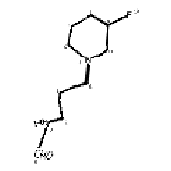 O=[C]NCCCN1CCCC(F)C1